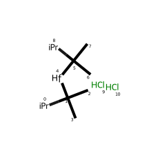 CC(C)[C](C)(C)[Hf][C](C)(C)C(C)C.Cl.Cl